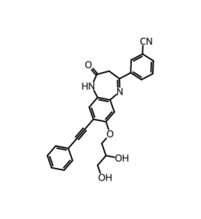 N#Cc1cccc(C2=Nc3cc(OCC(O)CO)c(C#Cc4ccccc4)cc3NC(=O)C2)c1